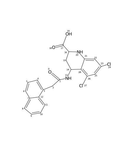 O=C(Cc1cccc2ccccc12)NC1CC(C(=O)O)Nc2cc(Cl)cc(Cl)c21